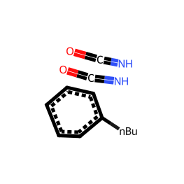 CCCCc1ccccc1.N=C=O.N=C=O